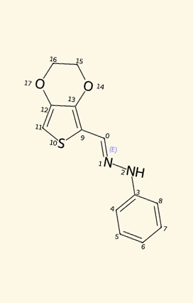 C(=N\Nc1ccccc1)/c1scc2c1OCCO2